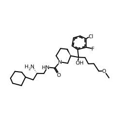 COCCCC[C@@](O)(c1cccc(Cl)c1F)[C@@H]1CCCN(C(=O)NC[C@@H](N)CC2CCCCC2)C1